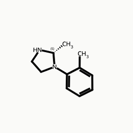 Cc1ccccc1N1CCN[C@@H]1C